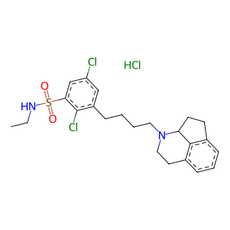 CCNS(=O)(=O)c1cc(Cl)cc(CCCCN2CCc3cccc4c3C2CC4)c1Cl.Cl